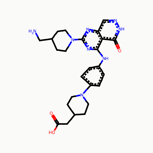 NCC1CCN(c2nc(Nc3ccc(N4CCC(CC(=O)O)CC4)cc3)c3c(=O)[nH]ncc3n2)CC1